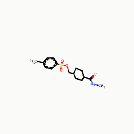 CNC(=O)C1CCC(COS(=O)(=O)c2ccc(C)cc2)CC1